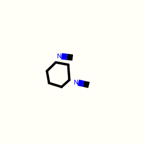 C#N.C#N.C1CCCCC1